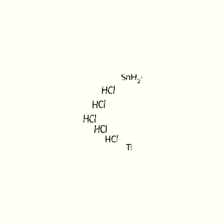 Cl.Cl.Cl.Cl.Cl.[SnH2].[Ti]